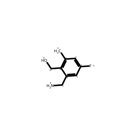 Cc1cc(F)cc(CN)c1CO